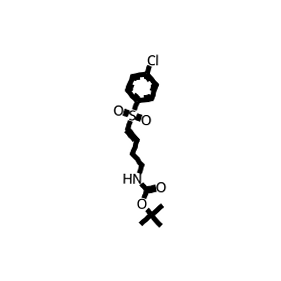 CC(C)(C)OC(=O)NCC/C=C/S(=O)(=O)c1ccc(Cl)cc1